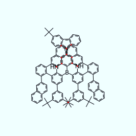 CC(C)(C)c1cc(-c2cc3c(c(-c4c(-c5ccc6ccccc6c5)cccc4-c4ccc5ccccc5c4)c2)Nc2cc(-n4c5ccccc5c5cc(C(C)(C)C)ccc54)cc4c2B3c2cc(-c3cc(C(C)(C)C)cc(C(C)(C)C)c3)cc(-c3c(-c5ccc6ccccc6c5)cccc3-c3ccc5ccccc5c3)c2N4)cc(C(C)(C)C)c1